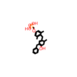 Cc1cc(OCP(=O)(O)O)cc(C)c1CC1=CC(Cc2ccccc2)=C(O)CC1C